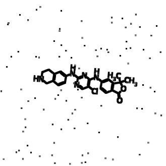 CC1(C)OC(=O)c2ccc(Nc3nc(Nc4ccc5c(c4)CCNC5)ncc3Cl)cc21